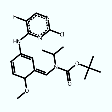 COC1C=CC(Nc2nc(Cl)ncc2F)=CC1=CN(C(=O)OC(C)(C)C)C(C)C